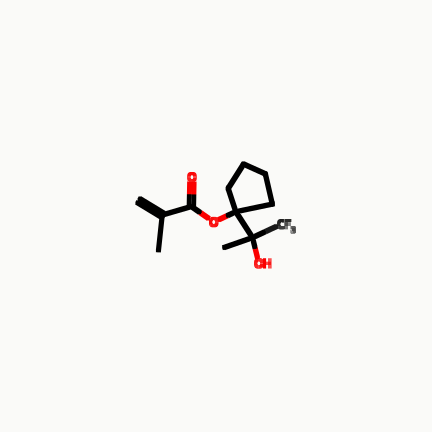 C=C(C)C(=O)OC1(C(C)(O)C(F)(F)F)CCCC1